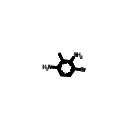 Bc1c(Br)ccc(N)c1C